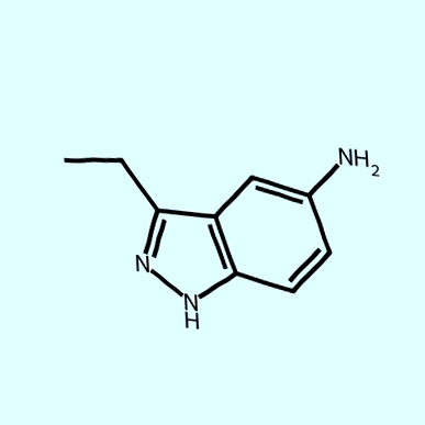 CCc1n[nH]c2ccc(N)cc12